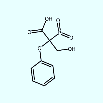 O=C(O)C(CO)(Oc1ccccc1)P(=O)=O